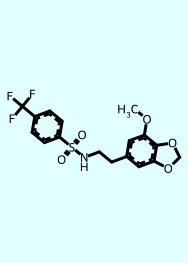 COc1cc(CCNS(=O)(=O)c2ccc(C(F)(F)F)cc2)cc2c1OCO2